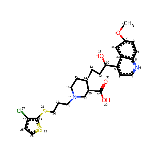 COc1ccc2nccc(C(O)CC[C@@H]3CCN(CCCSc4sccc4Cl)C[C@@H]3C(=O)O)c2c1